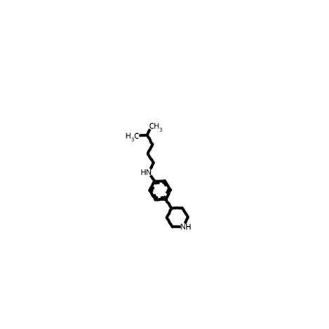 CC(C)CCCNc1ccc(C2CCNCC2)cc1